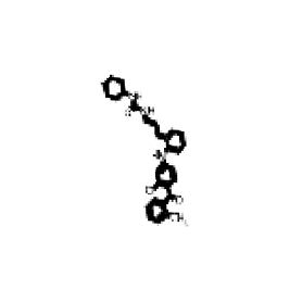 Cc1ccccc1C(=O)c1ccc(Nc2ccccc2C=CCNC(=O)NC2CCCCC2)cc1Cl